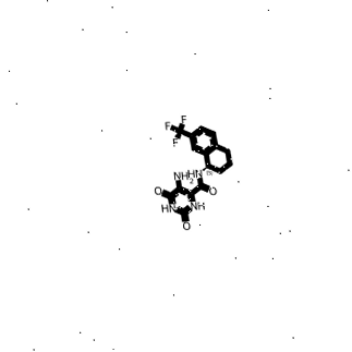 Nc1c(C(=O)N[C@H]2CCCc3ccc(C(F)(F)F)cc32)[nH]c(=O)[nH]c1=O